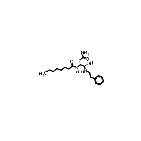 CCCCCCCC(=O)N[C@H](CC(N)=O)[C@@H](O)NCCc1ccccc1